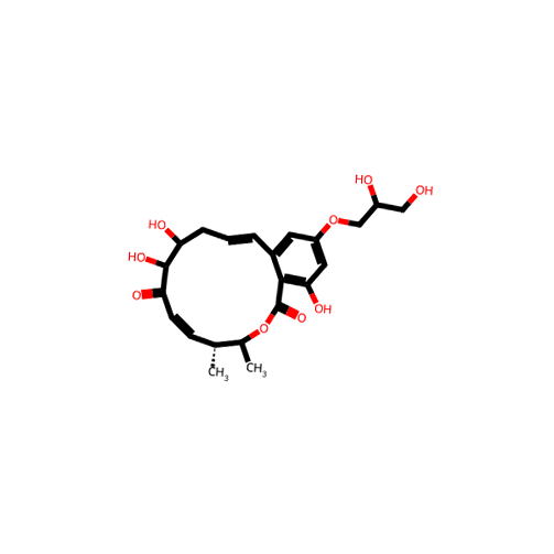 CC1OC(=O)c2c(O)cc(OCC(O)CO)cc2/C=C/CC(O)C(O)C(=O)/C=C\[C@H]1C